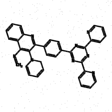 C=Nc1c(N2C=CC=CC2)c(-c2ccc(-c3nc(-c4ccccn4)nc(-c4ccccn4)n3)cc2)nc2ccccc12